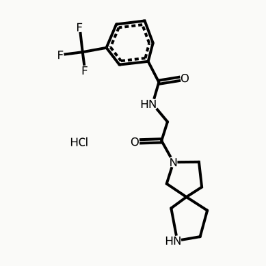 Cl.O=C(NCC(=O)N1CCC2(CCNC2)C1)c1cccc(C(F)(F)F)c1